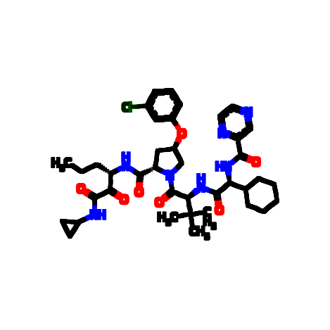 CCC[C@H](NC(=O)[C@@H]1C[C@@H](Oc2cccc(Cl)c2)CN1C(=O)[C@@H](NC(=O)[C@@H](NC(=O)c1cnccn1)C1CCCCC1)C(C)(C)C)C(=O)C(=O)NC1CC1